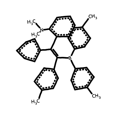 Cc1ccc(B(/C(=C(/c2ccccc2)c2ccccc2N(C)C)c2ccc(C)cc2)c2ccc(C)cc2)cc1